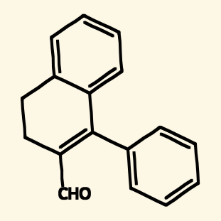 O=CC1=C(c2ccccc2)c2ccccc2CC1